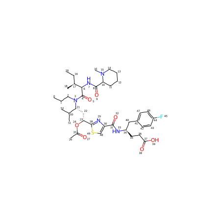 CCCN(C(=O)C(NC(=O)C1CCCCN1C)[C@@H](C)CC)[C@H](C[C@@H](OC(C)=O)c1nc(C(=O)N[C@H](CCC(=O)O)Cc2ccc(F)cc2)cs1)C(C)C